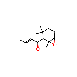 CC=CC(=O)C1C(C)(C)CCC2OC21C